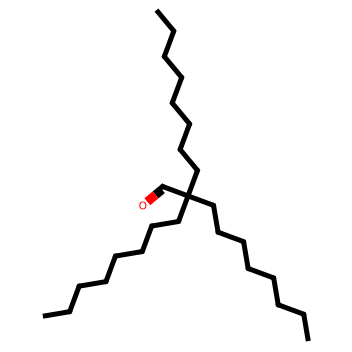 CCCCCCCCC([C]=O)(CCCCCCCC)CCCCCCCC